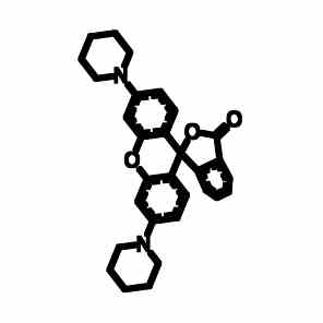 O=C1OC2(c3ccc(N4CCCCC4)cc3Oc3cc(N4CCCCC4)ccc32)c2ccccc21